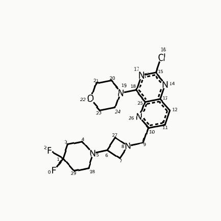 FC1(F)CCN(C2CN(Cc3ccc4nc(Cl)nc(N5CCOCC5)c4n3)C2)CC1